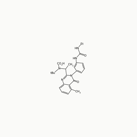 CCNC(=O)Nc1cccc(-n2c(C(C)N(C(=O)O)C(C)(C)C)nc3cccc(C)c3c2=O)c1